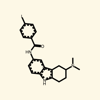 CN(C)C1CCc2[nH]c3ccc(NC(=O)c4ccc(I)cc4)cc3c2C1